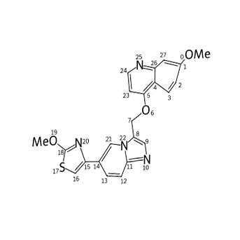 COc1ccc2c(OCc3cnc4ccc(-c5csc(OC)n5)cn34)ccnc2c1